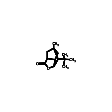 CC(C)(C)C1C2OC(=O)C3CC1(C)CC32